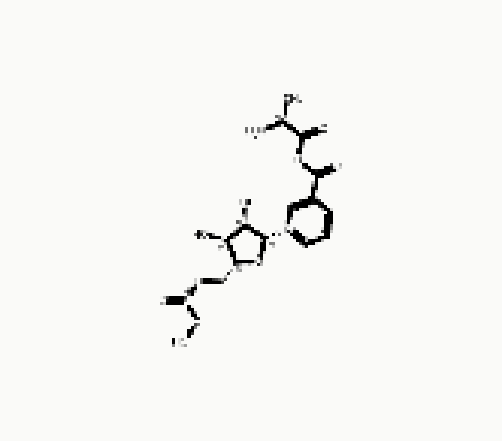 C[C@H](N)C(=O)OC(=O)c1ccc[n+]([C@@H]2O[C@H](CO[PH](=O)OO)[C@@H](O)[C@H]2O)c1